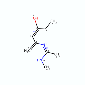 C=C(/C=C(/O)CC)/N=C(/C)NC